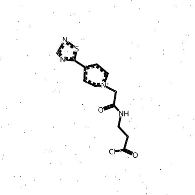 O=C(Cl)CCNC(=O)C[n+]1ccc(-c2ncns2)cc1